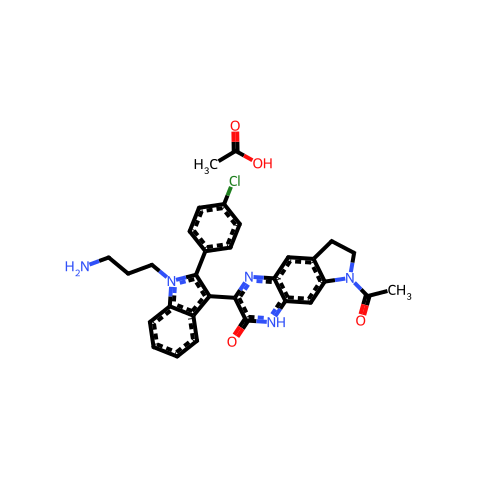 CC(=O)N1CCc2cc3nc(-c4c(-c5ccc(Cl)cc5)n(CCCN)c5ccccc45)c(=O)[nH]c3cc21.CC(=O)O